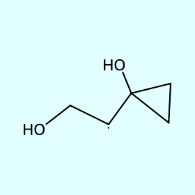 OC[CH]C1(O)CC1